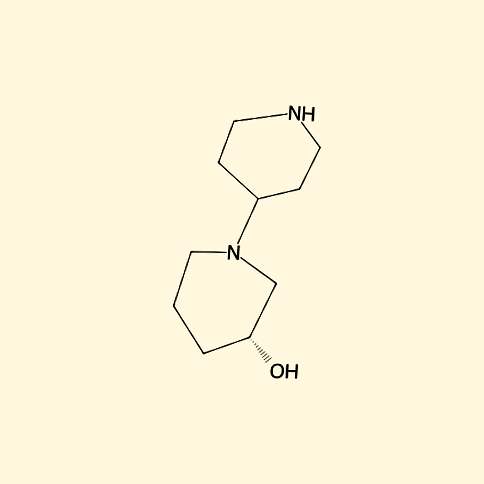 O[C@@H]1CCCN(C2CCNCC2)C1